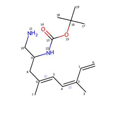 C=C/C(C)=C\C=C(/C)CC(CN)NC(=O)OC(C)(C)C